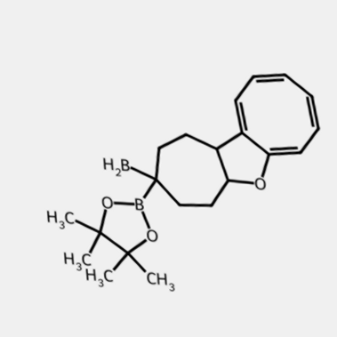 BC1(B2OC(C)(C)C(C)(C)O2)CCC2OC3=C/C=C\C=C/C=C\3C2CC1